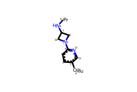 CC(C)COc1ccc(N2CC(NC(C)C)C2)nc1